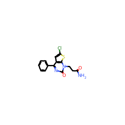 NC(=O)CCn1c(=O)nc(-c2ccccc2)c2cc(Cl)sc21